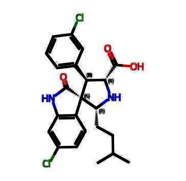 CC(C)CC[C@H]1N[C@@H](C(=O)O)[C@H](c2cccc(Cl)c2)[C@@]12C(=O)Nc1cc(Cl)ccc12